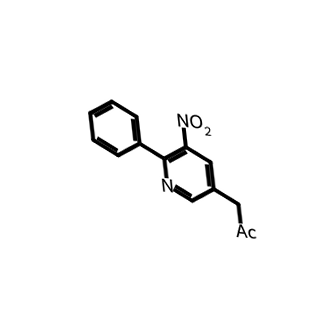 CC(=O)Cc1cnc(-c2ccccc2)c([N+](=O)[O-])c1